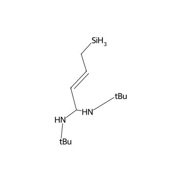 CC(C)(C)NC(C=CC[SiH3])NC(C)(C)C